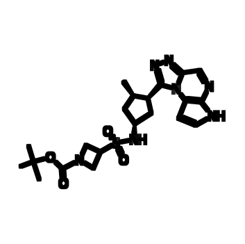 C[C@@H]1C[C@H](NS(=O)(=O)C2CN(C(=O)OC(C)(C)C)C2)C[C@@H]1c1nnc2cnc3[nH]ccc3n12